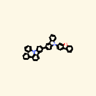 c1ccc(-c2cccc3c4cc(-c5ccc6c(c5)c5ccccc5n6-c5ccc6c(c5)oc5ccccc56)ccc4n(-c4ccccc4)c23)cc1